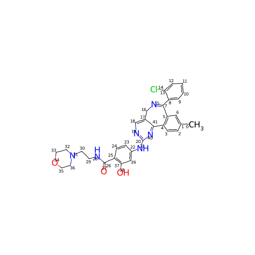 Cc1ccc2c(c1)C(c1ccccc1Cl)=NCc1cnc(Nc3ccc(C(=O)NCCN4CCOCC4)c(O)c3)nc1-2